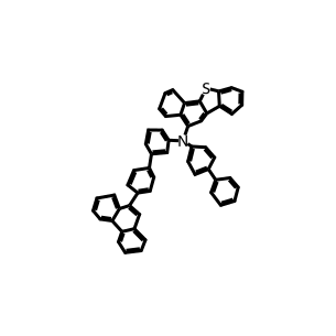 c1ccc(-c2ccc(N(c3cccc(-c4ccc(-c5cc6ccccc6c6ccccc56)cc4)c3)c3cc4c5ccccc5sc4c4ccccc34)cc2)cc1